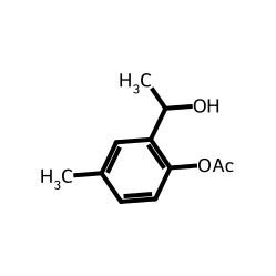 CC(=O)Oc1ccc(C)cc1C(C)O